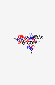 C/C=C/C1=CN2C(=O)c3cc(OC)c(OCCCOc4cc5c(cc4OC)C(=O)N4C=C(/C=C/C)CC4C(O)N5C(=O)OCc4ccc(NC(=O)C(C)NC(=O)[C@@H](NC)C(C)C)cc4)cc3N=CC2C1